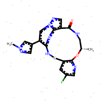 C[C@H]1CNC(=O)c2cnn3cc(-c4cnn(C)c4)c(nc23)NCc2cc(F)cnc2O1